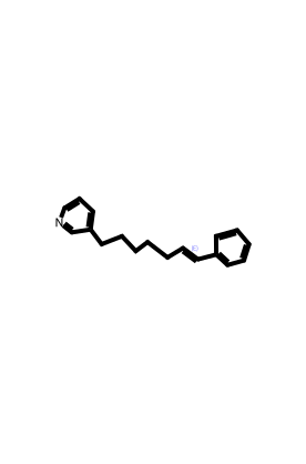 C(=C\c1ccccc1)/CCCCCc1cccnc1